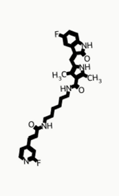 Cc1[nH]c(/C=C2\C(=O)Nc3ccc(F)cc32)c(C)c1C(=O)NCCCCCCNC(=O)/C=C/c1ccnc(F)c1